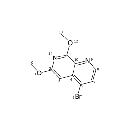 COc1cc2c(Br)ccnc2c(OC)n1